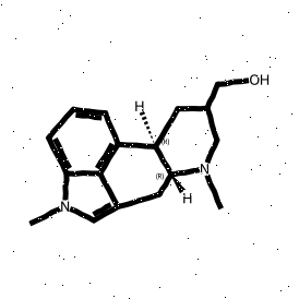 CN1CC(CO)C[C@@H]2c3cccc4c3c(cn4C)C[C@H]21